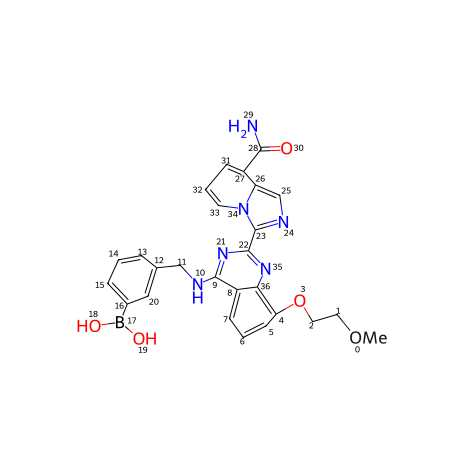 COCCOc1cccc2c(NCc3cccc(B(O)O)c3)nc(-c3ncc4c(C(N)=O)cccn34)nc12